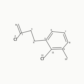 C=C(Cl)C[CH]c1cccc(C)c1Cl